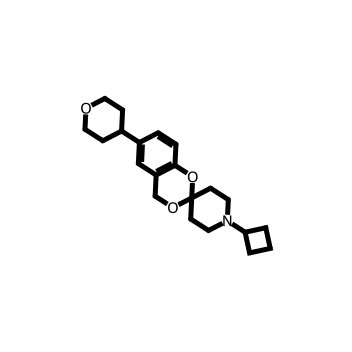 c1cc2c(cc1C1CCOCC1)COC1(CCN(C3CCC3)CC1)O2